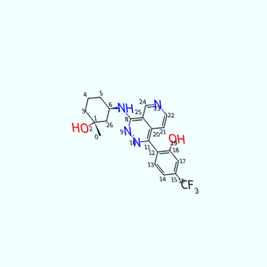 C[C@@]1(O)CCC[C@@H](Nc2nnc(-c3ccc(C(F)(F)F)cc3O)c3ccncc23)C1